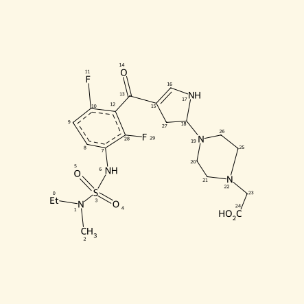 CCN(C)S(=O)(=O)Nc1ccc(F)c(C(=O)C2=CNC(N3CCN(CC(=O)O)CC3)C2)c1F